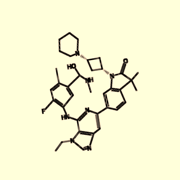 CCn1cnc2cc(-c3ccc4c(c3)N([C@H]3C[C@@H](N5CCCCC5)C3)C(=O)C4(C)C)nc(Nc3cc(C(O)NC)c(C)cc3F)c21